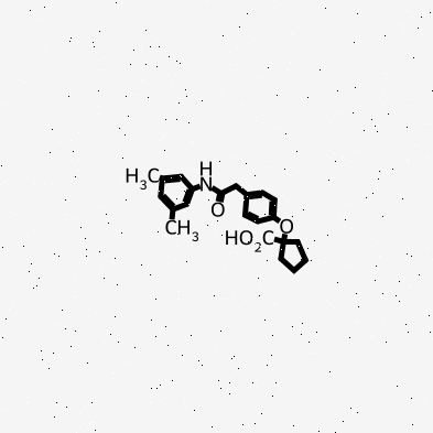 Cc1cc(C)cc(NC(=O)Cc2ccc(OC3(C(=O)O)CCCC3)cc2)c1